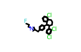 FCCCN1CC(Cc2ccc(C3=C(c4ccc(Cl)cc4Cl)CCCc4c(Cl)cccc43)cc2)C1